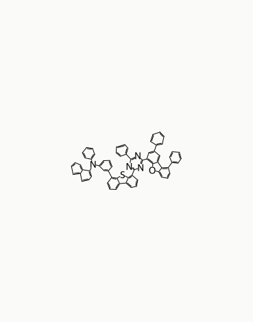 c1ccc(-c2cc(-c3nc(-c4ccccc4)nc(-c4cccc5c4sc4c(-c6cccc(N(c7ccccc7)c7cccc8ccccc78)c6)cccc45)n3)c3oc4cccc(-c5ccccc5)c4c3c2)cc1